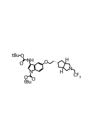 CC(C)(C)OC(=O)Nc1cn(C(=O)OC(C)(C)C)c2ccc(OCC[C@@H]3C[C@@H]4CN(CC(F)(F)F)C[C@@H]4C3)cc12